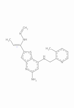 C=NN/C(=C\C)c1cc2nc(N)cc(NCc3ncccc3C)c2s1